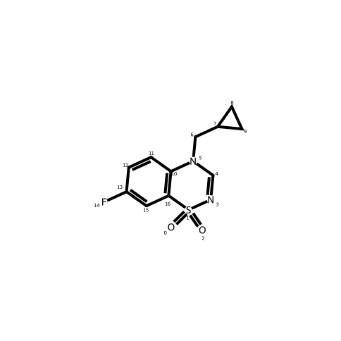 O=S1(=O)N=CN(CC2CC2)c2ccc(F)cc21